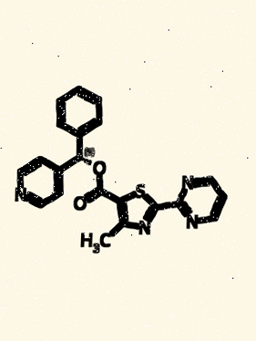 Cc1nc(-c2ncccn2)sc1C(=O)O[C@@H](c1ccccc1)c1ccncc1